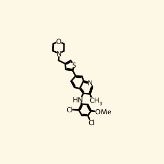 COc1cc(Nc2c(C)cnc3cc(-c4cc(CN5CCOCC5)cs4)ccc23)c(Cl)cc1Cl